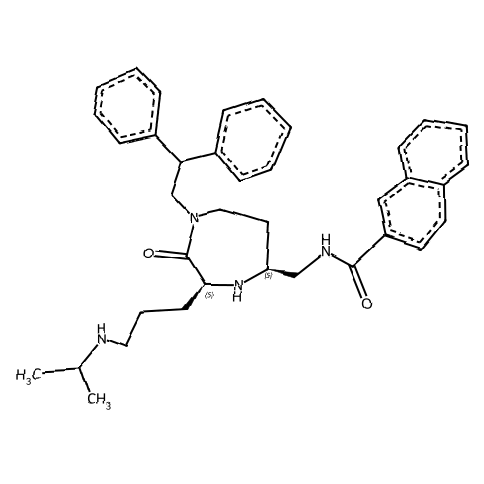 CC(C)NCCC[C@@H]1N[C@H](CNC(=O)c2ccc3ccccc3c2)CCN(CC(c2ccccc2)c2ccccc2)C1=O